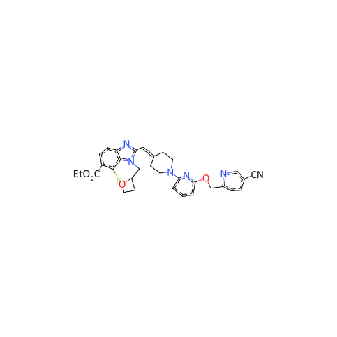 CCOC(=O)c1ccc2nc(C=C3CCN(c4cccc(OCc5ccc(C#N)cn5)n4)CC3)n(CC3CCO3)c2c1F